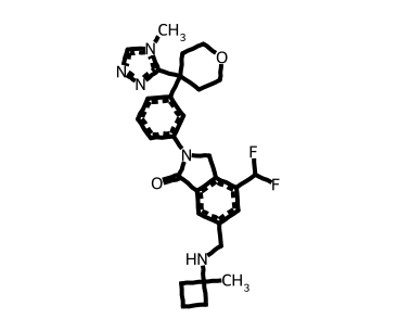 Cn1cnnc1C1(c2cccc(N3Cc4c(cc(CNC5(C)CCC5)cc4C(F)F)C3=O)c2)CCOCC1